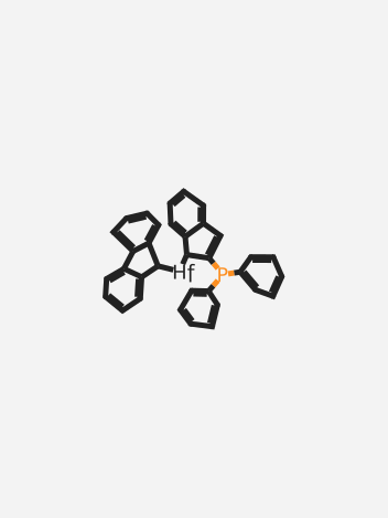 C1=C(P(c2ccccc2)c2ccccc2)[CH]([Hf][CH]2c3ccccc3-c3ccccc32)c2ccccc21